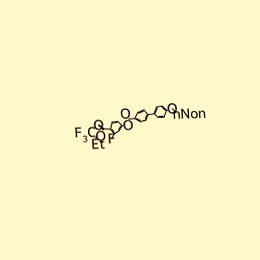 CCCCCCCCCOc1ccc(-c2ccc(C(=O)Oc3ccc(C(=O)OC(CC)C(F)(F)F)c(F)c3)cc2)cc1